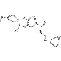 O=C(NCCc1cccnc1)c1ccc2c(c1)NC(=O)c1cc(F)ccc1S2